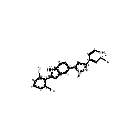 Cn1nc(C(/C=C\N)=C/CI)cc1-c1ccc2[nH]c(-c3c(F)cccc3F)cc2c1